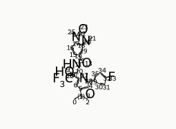 C[C@@H]1COc2c1cc([C@@](O)(CNC(=O)c1ccc3c(c1)n(C)c(=O)n3C)C(F)(F)F)nc2-c1ccc(F)cc1